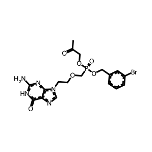 CC(=O)COP(=O)(COCCn1cnc2c(=O)[nH]c(N)nc21)OCc1cccc(Br)c1